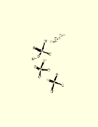 O=P([O-])([O-])[O-].O=P([O-])([O-])[O-].O=P([O-])([O-])[O-].[B+3].[Ca+2].[Ca+2].[Ca+2]